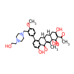 COc1ccc(-c2ccc(O)c3c2C[C@@H]2C[C@@H]4CC(O)=C(C(C)=O)C(=O)[C@]4(O)C(C)=C2C3=O)cc1CN1CCN(CCO)CC1